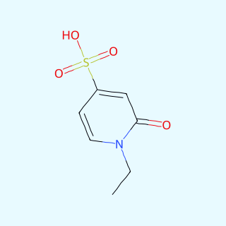 CCn1ccc(S(=O)(=O)O)cc1=O